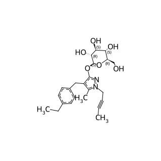 CC#CCn1nc(O[C@@H]2O[C@H](CO)[C@@H](O)[C@H](O)[C@H]2O)c(Cc2ccc(CC)cc2)c1C